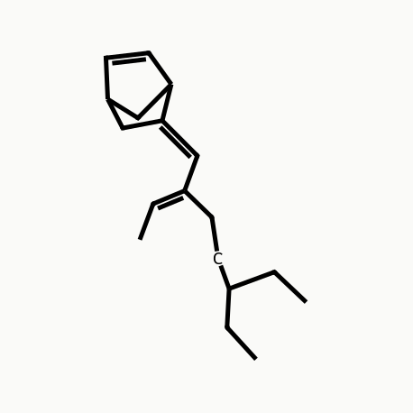 CC=C(C=C1CC2C=CC1C2)CCC(CC)CC